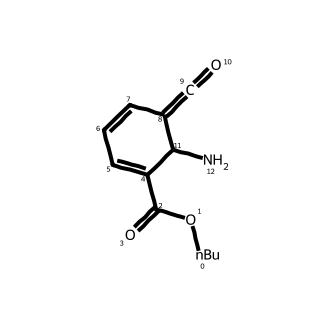 CCCCOC(=O)C1=CC=CC(=C=O)C1N